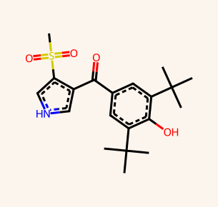 CC(C)(C)c1cc(C(=O)c2c[nH]cc2S(C)(=O)=O)cc(C(C)(C)C)c1O